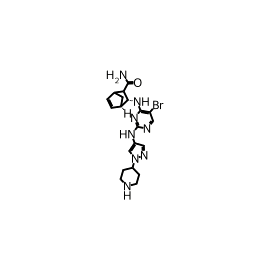 NC(=O)C1C2C=C[C@@H](C2)[C@H]1Nc1nc(Nc2cnn(C3CCNCC3)c2)ncc1Br